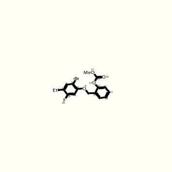 CCc1cc(Br)c(OCc2ccccc2OC(=O)OC)cc1F